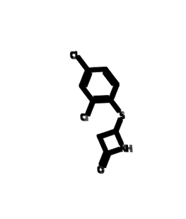 O=C1CC(Sc2ccc(Cl)cc2Cl)N1